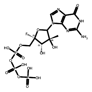 C[C@]1(O)C(n2cnc3c(=O)[nH]c(N)nc32)O[C@](F)(COP(=O)(O)OP(=O)(O)OP(=O)(O)O)[C@H]1O